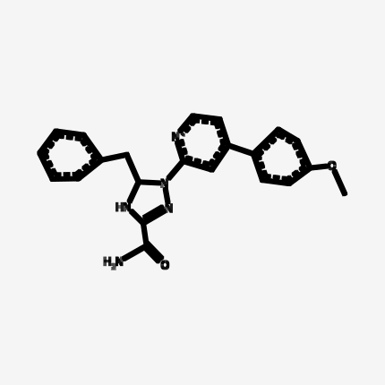 COc1ccc(-c2ccnc(N3N=C(C(N)=O)NC3Cc3ccccc3)c2)cc1